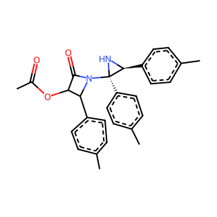 CC(=O)OC1C(=O)N([C@@]2(c3ccc(C)cc3)N[C@H]2c2ccc(C)cc2)C1c1ccc(C)cc1